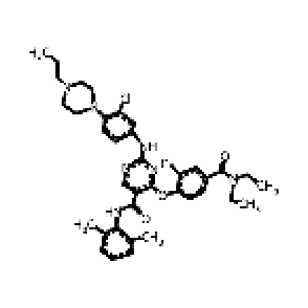 CCCN1CCN(c2ccc(Nc3ncc(C(=O)Nc4c(C)cccc4C)c(Oc4ccc(C(=O)N(CC)CC)cc4Cl)n3)cc2Cl)CC1